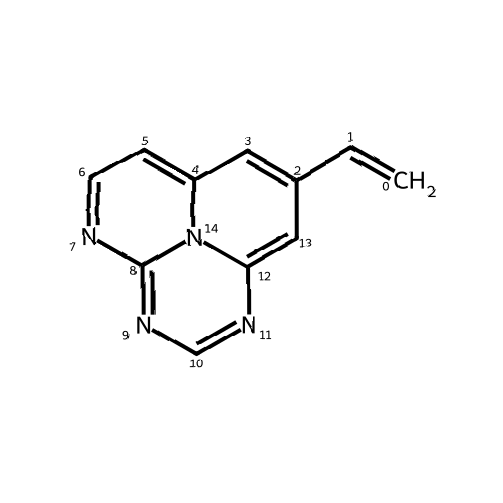 C=CC1=CC2=CC=NC3=NC=NC(=C1)N23